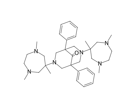 CN1CCN(C)CC(C)(N2CC3(c4ccccc4)CN(C4(C)CN(C)CCN(C)C4)CC(c4ccccc4)(C2)C3=O)C1